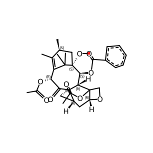 CO[C@]12C[C@H](C)C(C)=C([C@@H](OC(C)=O)C(=O)[C@]34C[C@H]3C[C@H]3OCC3(OC(C)=O)[C@H]4[C@@H]1OC(=O)c1ccccc1)C2(C)C